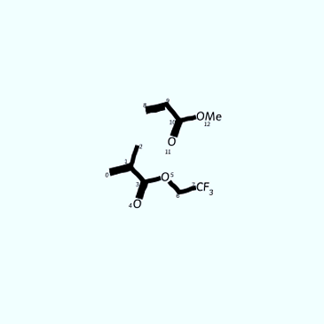 C=C(C)C(=O)OCC(F)(F)F.C=CC(=O)OC